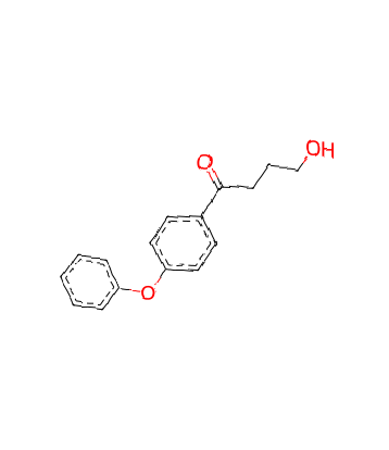 O=C(CCCO)c1ccc(Oc2ccccc2)cc1